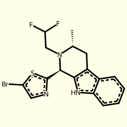 C[C@@H]1Cc2c([nH]c3ccccc23)[C@@H](c2ncc(Br)s2)N1CC(F)F